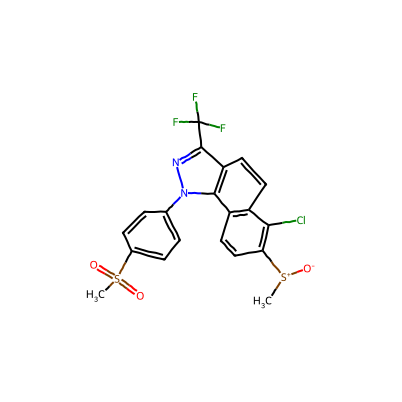 C[S+]([O-])c1ccc2c(ccc3c(C(F)(F)F)nn(-c4ccc(S(C)(=O)=O)cc4)c32)c1Cl